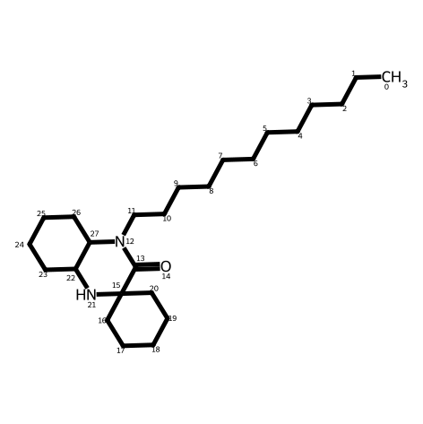 CCCCCCCCCCCCN1C(=O)C2(CCCCC2)NC2CCCCC21